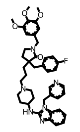 COc1cc(CN2CCC(CCCN3CCC(Nc4nc5ccccc5n4Cc4cccnc4)CC3)(Cc3ccc(F)cc3)C2=O)cc(OC)c1OC